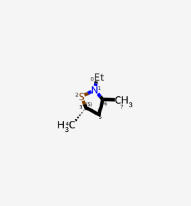 CCN1S[C@@H](C)CC1C